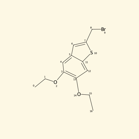 CCOc1cc2cc(CBr)sc2cc1OCC